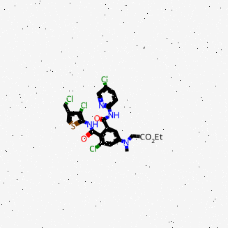 CCOC(=O)CN(C)c1cc(Cl)c(C(=O)Nc2scc(CCl)c2Cl)c(C(=O)Nc2ccc(Cl)cn2)c1